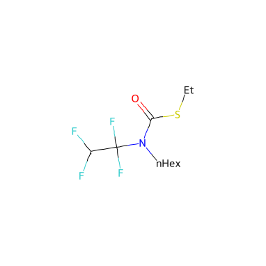 CCCCCCN(C(=O)SCC)C(F)(F)[C](F)F